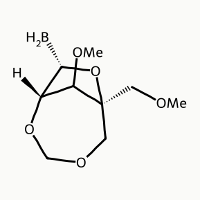 B[C@@H]1O[C@@]2(COC)COCO[C@H]1C2OC